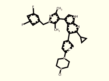 Cc1nn(Cc2cc(F)cc(F)c2)c(C)c1-c1c[nH]c2nc(C3CC3)c(-c3ccc(N4CCN(Cl)CC4)cc3)cc12